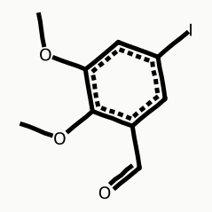 COc1cc(I)cc(C=O)c1OC